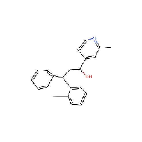 Cc1cc(C(O)CC(c2ccccc2)c2ccccc2C)ccn1